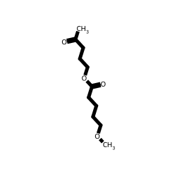 COCCCCC(=O)OCCCC(C)=O